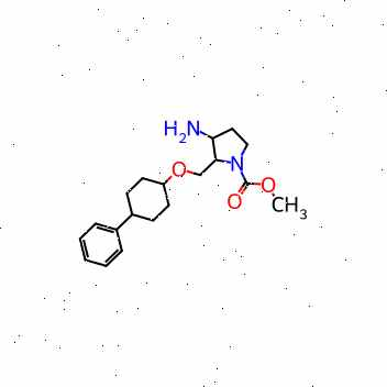 COC(=O)N1CCC(N)C1COC1CCC(c2ccccc2)CC1